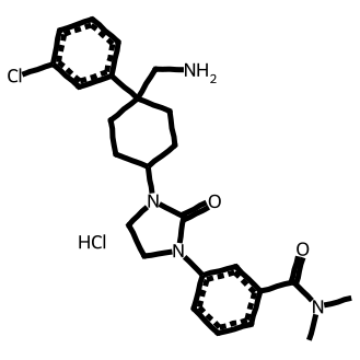 CN(C)C(=O)c1cccc(N2CCN(C3CCC(CN)(c4cccc(Cl)c4)CC3)C2=O)c1.Cl